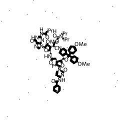 COc1ccc(C(OC[C@H]2O[C@@H](n3ccc(NC(=O)c4ccccc4)nc3=O)[C@H](F)[C@@H]2CC(=O)NC[C@@H]2O[C@@H](n3cnc4c(=O)[nH]c(NC(=O)C(C)C)nc43)[C@H](OC)[C@@H]2C(C#N)COP(O)N(C(C)C)C(C)C)(c2ccccc2)c2ccc(OC)cc2)cc1